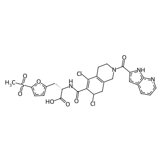 CS(=O)(=O)c1ccc(C[C@H](NC(=O)C2=C(Cl)C3=C(CC2Cl)CN(C(=O)c2cc4cccnc4[nH]2)CC3)C(=O)O)o1